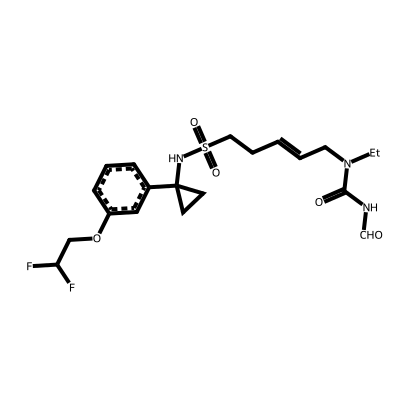 CCN(C/C=C/CCS(=O)(=O)NC1(c2cccc(OCC(F)F)c2)CC1)C(=O)NC=O